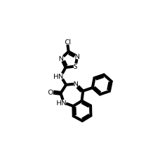 O=C1Nc2ccccc2C(c2ccccc2)=NC1Nc1nc(Cl)ns1